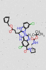 CC(C)(C)OC(=O)NC[C@@H]1CCCN1C(=O)c1cc2ncnc(NC(CCC(=O)OCc3ccccc3)c3nc4cc(Cl)ccc4[nH]3)c2cc1Cl